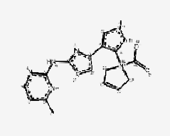 Cc1ccnc(Nc2nc(-c3c[nH]nc3[N+]3(C(=O)[O-])CC=CC3)cs2)n1